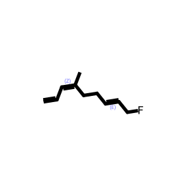 C=C/C=C(/C)CC/C=C/CF